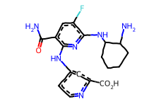 NC(=O)c1cc(F)c(NC2CCCCC2N)nc1Nc1ccnc(C(=O)O)c1